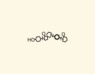 O=C1CCCCN1c1ccc(N2CCC[C@]3(CCN(C4CCC(O)CC4)C3=O)C2)cc1